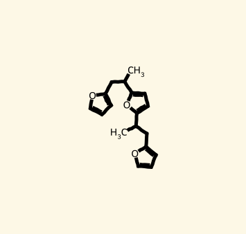 CC(Cc1ccco1)c1ccc(C(C)Cc2ccco2)o1